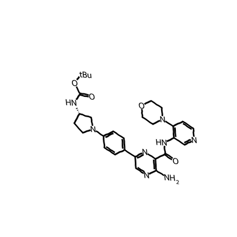 CC(C)(C)OC(=O)N[C@H]1CCN(c2ccc(-c3cnc(N)c(C(=O)Nc4cnccc4N4CCOCC4)n3)cc2)C1